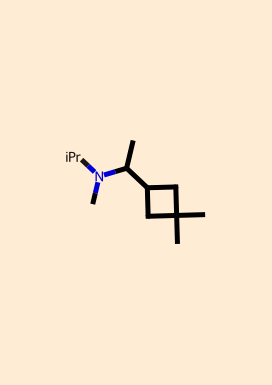 CC(C)N(C)C(C)C1CC(C)(C)C1